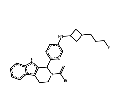 C=C(CC)N1CCc2c([nH]c3ccccc23)C1c1ncc(NC2CN(CCCF)C2)cn1